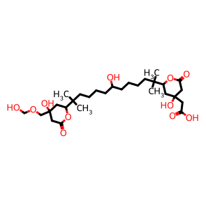 CC(C)(CCCCC(O)CCCCC(C)(C)C1CC(O)(CC(=O)O)CC(=O)O1)C1CC(O)(COCO)CC(=O)O1